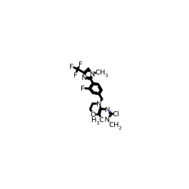 C=N/C(Cl)=N\C1=C(C)OCCN1Cc1ccc(-c2nc(C(F)(F)F)cn2C)c(F)c1